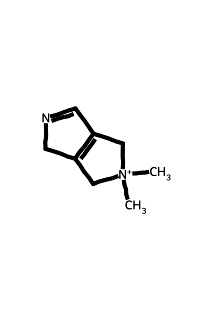 C[N+]1(C)CC2=C(CN=C2)C1